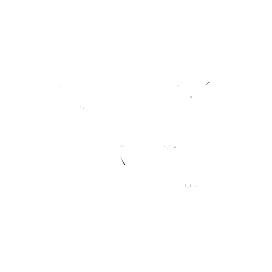 COc1cccc([C@@H]2O[C@@H](CC(=O)N[C@H](C)C(=O)O)C(=O)N3c4c(cc(C)cc42)OC[C@@H]3C(C)(C)C)c1OC